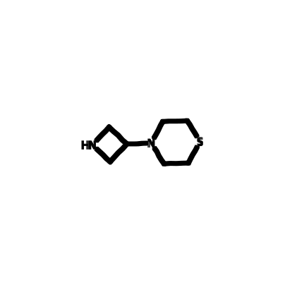 C1CN(C2CNC2)CCS1